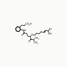 CCC(O)/C=C/CCCCOC(CCC(=O)Nc1ccccc1CCC(=O)O)C(=O)N(C)C